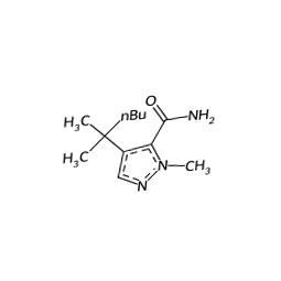 CCCCC(C)(C)c1cnn(C)c1C(N)=O